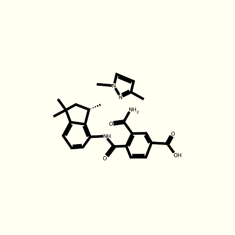 C[C@H]1CC(C)(C)c2cccc(NC(=O)c3ccc(C(=O)O)cc3C(N)=O)c21.Cc1ccn(C)n1